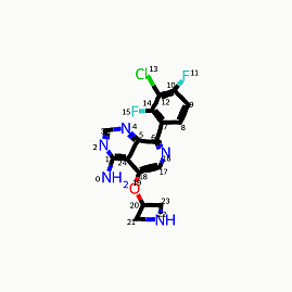 Nc1ncnc2c(-c3ccc(F)c(Cl)c3F)ncc(OC3CNC3)c12